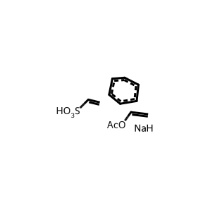 C=COC(C)=O.C=CS(=O)(=O)O.[NaH].c1ccccc1